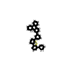 C1=CCC(c2cccc3c2sc2c(-c4cccc(-c5ccc6c7ccccc7c7ccccc7c6c5)c4)cccc23)C=C1